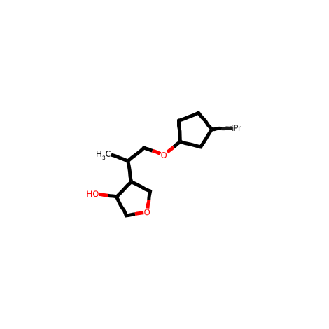 CC(C)C1CCC(OCC(C)C2COCC2O)C1